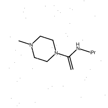 C=C(NC(C)C)N1CCN(C)CC1